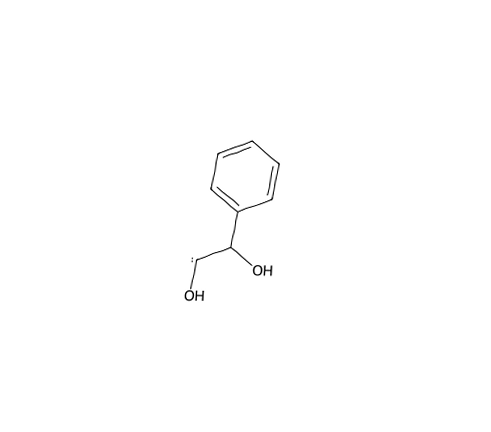 O[C]C(O)c1ccccc1